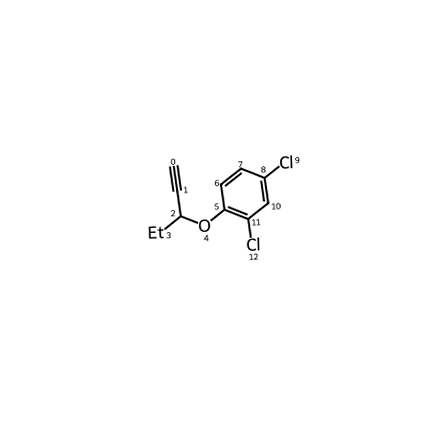 C#CC(CC)Oc1ccc(Cl)cc1Cl